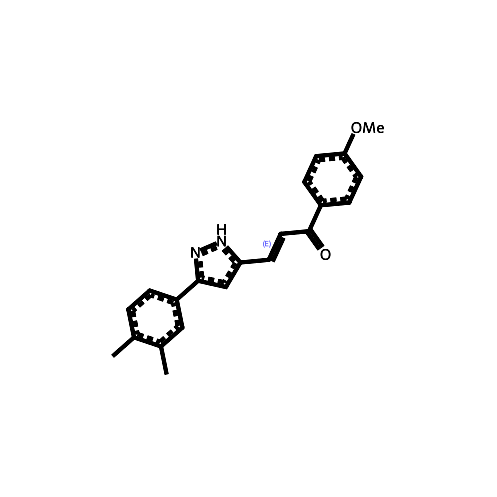 COc1ccc(C(=O)/C=C/c2cc(-c3ccc(C)c(C)c3)n[nH]2)cc1